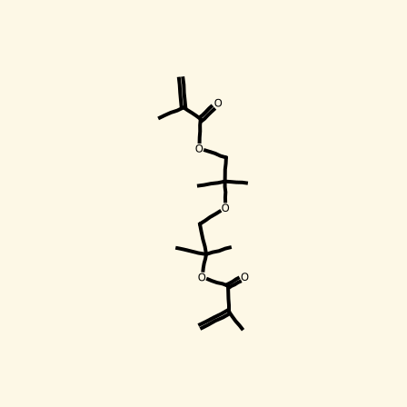 C=C(C)C(=O)OCC(C)(C)OCC(C)(C)OC(=O)C(=C)C